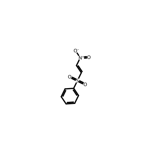 O=[N+]([O-])C=CS(=O)(=O)c1ccccc1